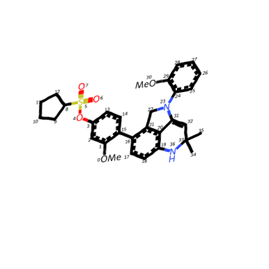 COc1cc(OS(=O)(=O)C2CCCC2)ccc1-c1ccc2c3c1CN(c1ccccc1OC)C3=CC(C)(C)N2